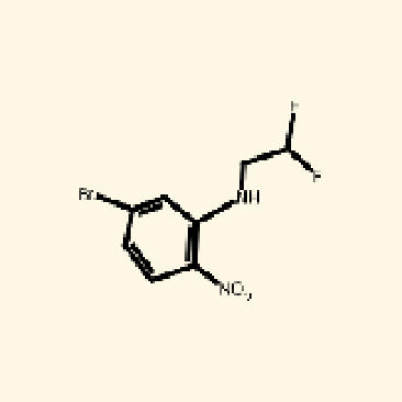 O=[N+]([O-])c1ccc(Br)cc1NCC(F)F